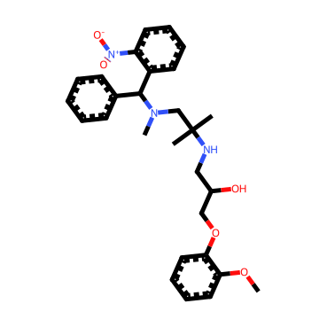 COc1ccccc1OCC(O)CNC(C)(C)CN(C)C(c1ccccc1)c1ccccc1[N+](=O)[O-]